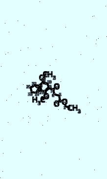 CCOC(=O)CCC(=O)c1cc(OC)c2c(c1OC)C1CCC2C1